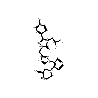 O=C1CN(c2ccncc2-n2cnc(Cn3nc(-c4ccc(Cl)cc4)n(CC(O)C(F)(F)F)c3=O)n2)CCN1